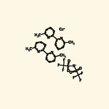 Cc1cccc(-c2cccc(C)n2)n1.Cc1cccc(-c2cccc(C)n2)n1.O=S(=O)([N-]S(=O)(=O)C(F)(F)F)C(F)(F)F.[Cu+]